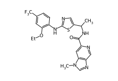 CCOc1cc(C(F)(F)F)ccc1Nc1ncc(C(C)NC(=O)c2cc3c(cn2)ncn3C)s1